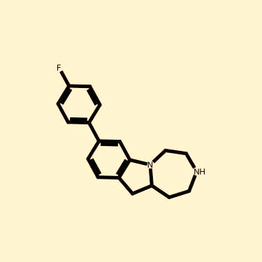 Fc1ccc(-c2ccc3c(c2)N2CCNCCC2C3)cc1